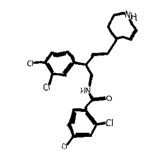 O=C(NCC(CCC1CCNCC1)c1ccc(Cl)c(Cl)c1)c1ccc(Cl)cc1Cl